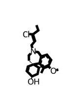 CC/C(Cl)=C/CN1CC[C@]2(C=C[C@@H](O)C[C@@H]2C)c2c(ccc(OC)c2C)C1